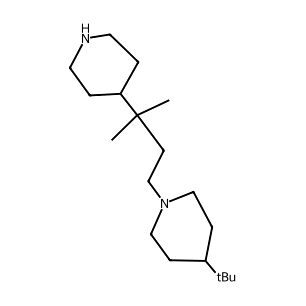 CC(C)(C)C1CCN(CCC(C)(C)C2CCNCC2)CC1